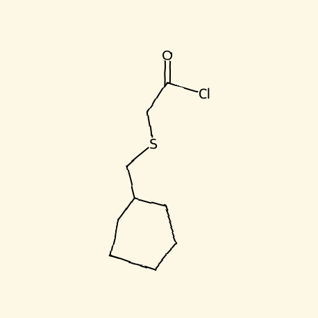 O=C(Cl)CSCC1CCCCC1